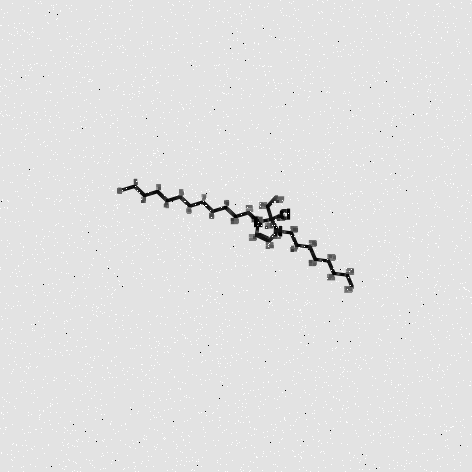 CCCCCCCCCCCCN1C=CN(CCCCCCCC)C1(Cl)CC